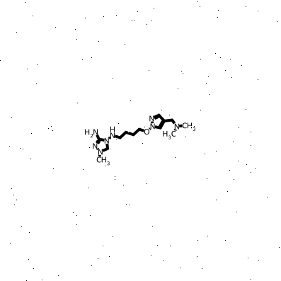 CN(C)Cc1cnn(OCCCCNN2CN(C)N=C2N)c1